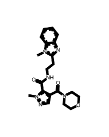 Cn1ncc(C(=O)N2CCOCC2)c1C(=O)NCCc1nc2ccccc2n1C